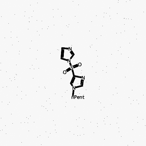 CCCCCn1cnc(S(=O)(=O)n2ccnc2)c1